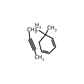 CC#CC.CC1(C)C=CC=CC1